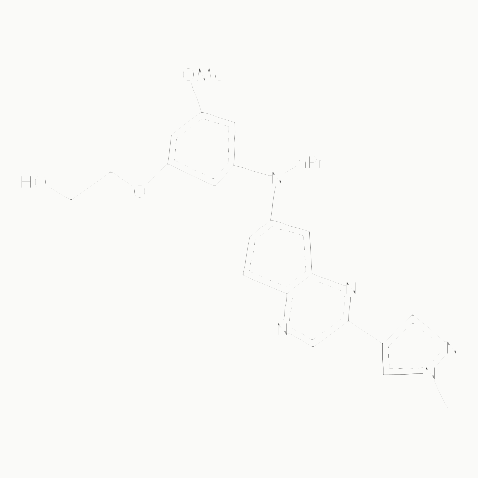 CCCN(c1cc(OC)cc(OCCO)c1)c1ccc2ncc(-c3cnn(C)c3)nc2c1